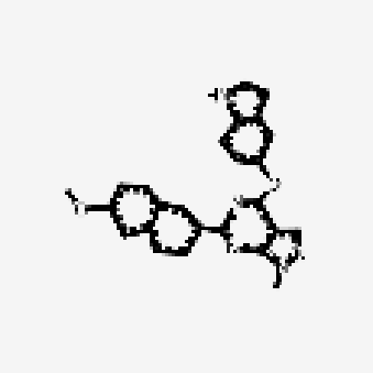 COc1ccc2cc(-c3nc(Oc4ccc5[nH]ccc5c4)c4cnn(C)c4n3)ccc2c1